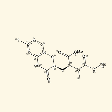 COC(=O)[C@H](C[C@@H]1Oc2ccc(F)cc2NC1=O)N(C)C(=O)OC(C)(C)C